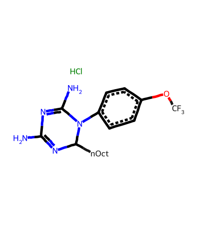 CCCCCCCCC1N=C(N)N=C(N)N1c1ccc(OC(F)(F)F)cc1.Cl